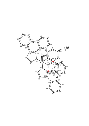 Cl.Cl.[GeH2]=[Zr]([c]1ccccc1)([c]1ccccc1)([CH]1C=Cc2c1c1ccccc1c1ccccc21)[CH]1C=Cc2c1c1ccccc1c1ccccc21